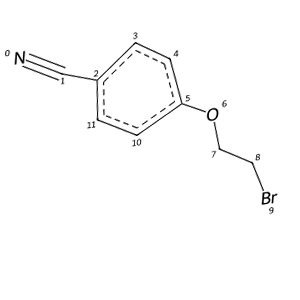 N#Cc1ccc(OCCBr)cc1